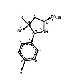 CCOC(=O)[C@@H]1C[C@](C)(C#N)[C@H](c2ccc(F)cc2)N1